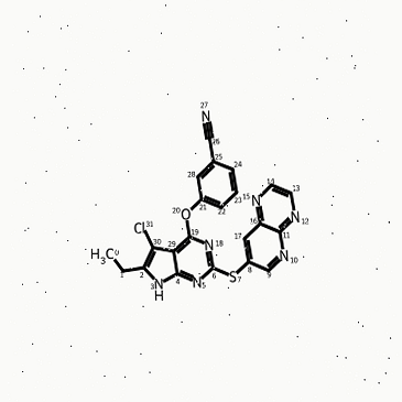 CCc1[nH]c2nc(Sc3cnc4nccnc4c3)nc(Oc3cccc(C#N)c3)c2c1Cl